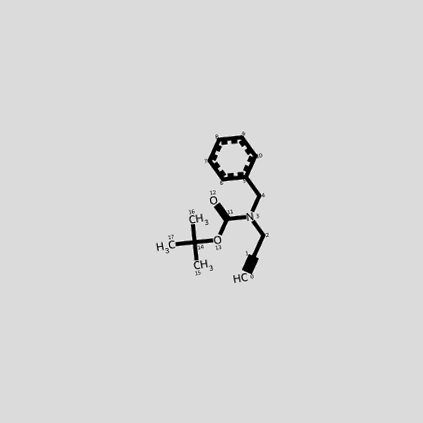 C#CCN(Cc1ccccc1)C(=O)OC(C)(C)C